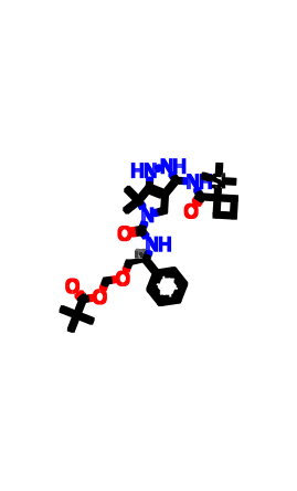 CC(C)(C)C(=O)OCOC[C@@H](NC(=O)N1CC2=C(NNC2NC(=O)C2([Si](C)(C)C)CCC2)C1(C)C)c1ccccc1